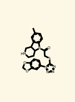 Cc1ccc2c(c1)C1CNCCC1N2C(=O)CSc1nnnn1-c1ccc2c(c1)OCO2